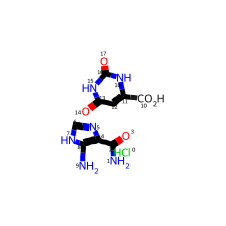 Cl.NC(=O)c1nc[nH]c1N.O=C(O)c1cc(=O)[nH]c(=O)[nH]1